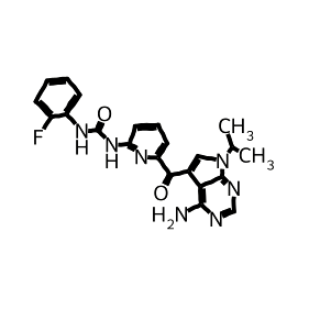 CC(C)n1cc(C(=O)c2cccc(NC(=O)Nc3ccccc3F)n2)c2c(N)ncnc21